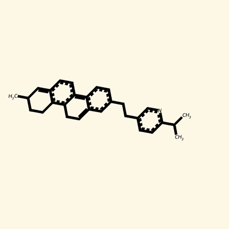 CC1C=c2ccc3c(c2CC1)CC=c1cc(CCc2ccc(C(C)C)nc2)ccc1=3